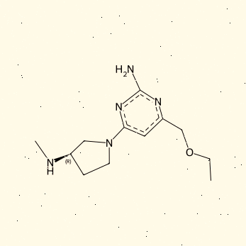 CCOCc1cc(N2CC[C@@H](NC)C2)nc(N)n1